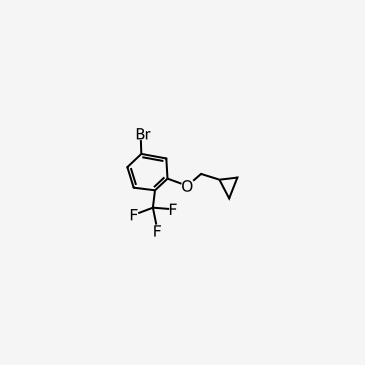 FC(F)(F)c1ccc(Br)cc1OCC1CC1